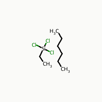 CCCCCC.CC[Si](Cl)(Cl)Cl